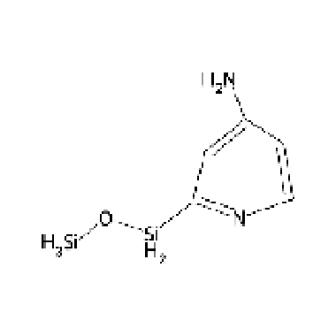 Nc1ccnc([SiH2]O[SiH3])c1